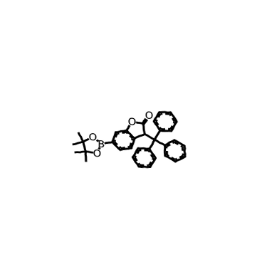 CC1(C)OB(c2ccc3c(c2)OC(=O)C3C(c2ccccc2)(c2ccccc2)c2ccccc2)OC1(C)C